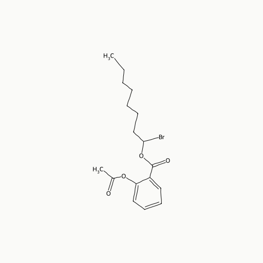 CCCCCCCC(Br)OC(=O)c1ccccc1OC(C)=O